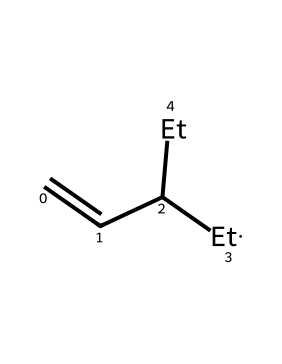 C=CC([CH]C)CC